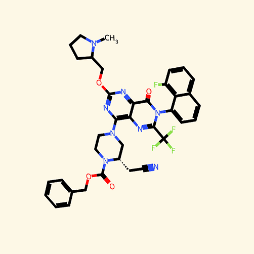 CN1CCCC1COc1nc(N2CCN(C(=O)OCc3ccccc3)[C@@H](CC#N)C2)c2nc(C(F)(F)F)n(-c3cccc4cccc(F)c34)c(=O)c2n1